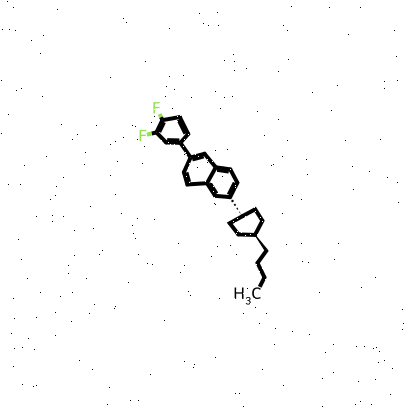 CCCC[C@H]1CC[C@H](c2ccc3cc(-c4ccc(F)c(F)c4)ccc3c2)CC1